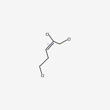 ClCC/C=C(/Cl)CCl